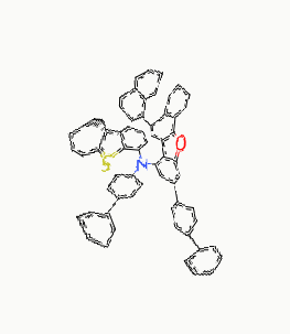 c1ccc(-c2ccc(-c3cc(N(c4ccc(-c5ccccc5)cc4)c4cccc5c4sc4ccccc45)c4c(c3)oc3c5ccccc5c(-c5cccc6ccccc56)cc34)cc2)cc1